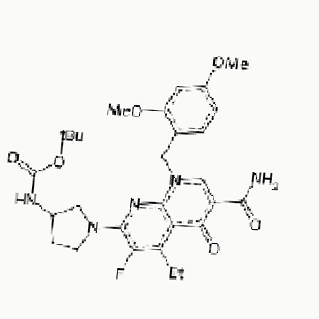 CCc1c(F)c(N2CCC(NC(=O)OC(C)(C)C)C2)nc2c1c(=O)c(C(N)=O)cn2Cc1ccc(OC)cc1OC